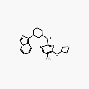 FC(F)(F)c1cnc(N[C@@H]2CCC[C@H](c3nnn4ccccc34)C2)nc1OC1COC1